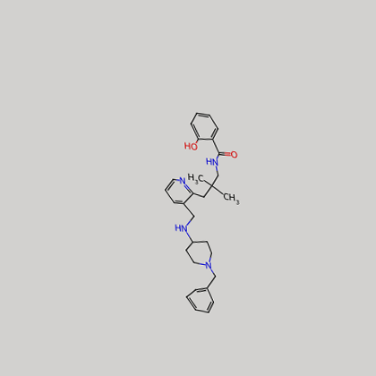 CC(C)(CNC(=O)c1ccccc1O)Cc1ncccc1CNC1CCN(Cc2ccccc2)CC1